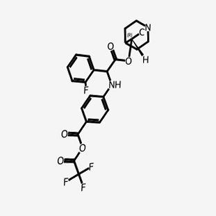 O=C(OC(=O)C(F)(F)F)c1ccc(NC(C(=O)O[C@H]2CN3CCC2CC3)c2ccccc2F)cc1